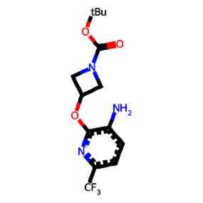 CC(C)(C)OC(=O)N1CC(Oc2nc(C(F)(F)F)ccc2N)C1